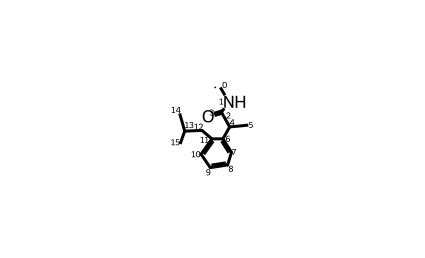 [CH2]NC(=O)C(C)c1ccccc1CC(C)C